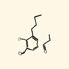 CCC=O.CCCCc1cccc(Cl)c1Cl